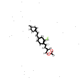 CC1CC=C(CCC2CCC(CCC3COC(C)OC3)=C(F)C2)CC1